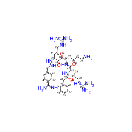 N=C(N)c1ccc(CNN[C@@H](CCCNC(N)N)C(=O)C(=O)[C@H](CCCCN)NC(=O)[C@H](CCCNC(N)N)NC(=O)Cc2ccccc2)cc1